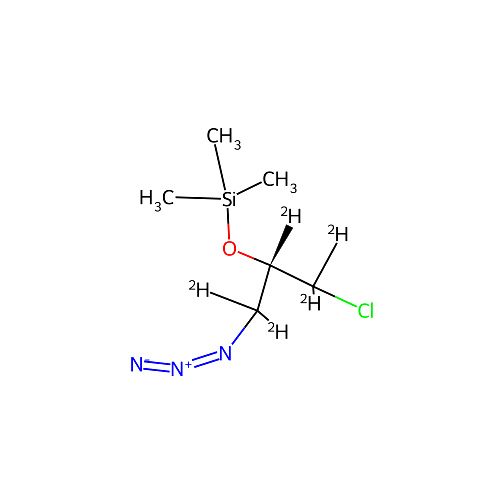 [2H]C([2H])(Cl)[C@@]([2H])(O[Si](C)(C)C)C([2H])([2H])N=[N+]=[N-]